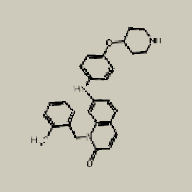 Cc1ccccc1Cn1c(=O)ccc2ccc(Nc3ccc(OC4CCNCC4)cc3)cc21